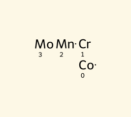 [Co].[Cr].[Mn].[Mo]